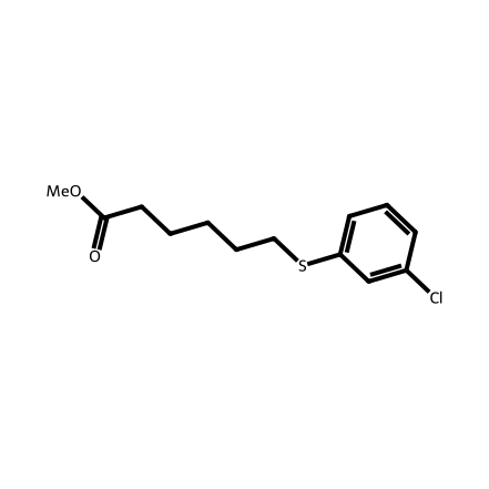 COC(=O)CCCCCSc1cccc(Cl)c1